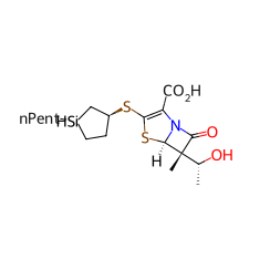 CCCCC[SiH]1CC[C@H](SC2=C(C(=O)O)N3C(=O)[C@](C)([C@@H](C)O)[C@H]3S2)C1